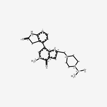 Cn1cc(-c2ccnc3c2CC(=O)N3)c2oc(CN3CCN([S+](C)[O-])CC3)cc2c1=O